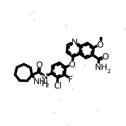 COc1cc2nccc(Oc3ccc(NC(=O)C4(N)CCCCCC4)c(Cl)c3F)c2cc1C(N)=O